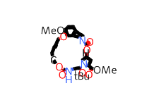 COC(=O)C1C[C@@H]2CN1C(=O)[C@H](C(C)(C)C)NC(=O)OCCC/C=C/COc1c(OC)ccc3c1CN(C3)C(=O)O2